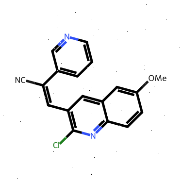 COc1ccc2nc(Cl)c(C=C(C#N)c3cccnc3)cc2c1